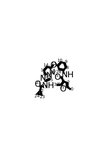 Cc1cc(C(=O)Nc2cccc(Oc3ccc4nc(NC(=O)C5CC5)cn4n3)c2)c(C)o1